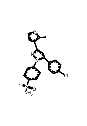 Cc1sccc1-c1cc(-c2ccc(Cl)cc2)n(-c2ccc(S(N)(=O)=O)cc2)n1